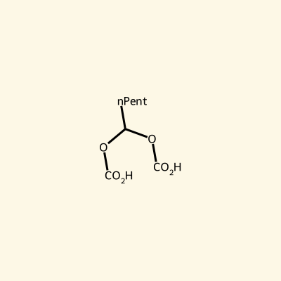 CCCCCC(OC(=O)O)OC(=O)O